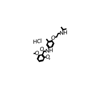 COc1cccc(OC)c1C(=O)Nc1ccc(OCCNC(C)C)c(C)c1.Cl